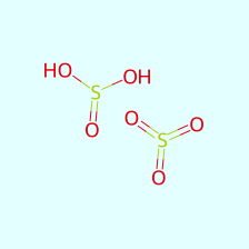 O=S(=O)=O.O=S(O)O